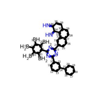 Bc1c(B)c(B)c(-c2nc(-c3cccc(-c4ccccc4)c3)nc(-c3ccc4ccc5c(c4c3)C(=N)C(=N)C=C5)n2)c(B)c1B